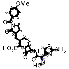 COc1ccc(C(=O)N2CCC(=CC3=C(C(=O)O)N4C(=O)C(NC(=O)/C(=N\O)c5csc(N)n5)C4SC3)C2=O)cc1